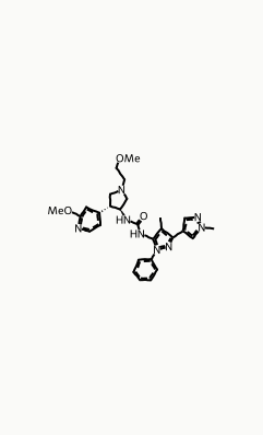 COCCN1C[C@@H](NC(=O)Nc2c(C)c(-c3cnn(C)c3)nn2-c2ccccc2)[C@H](c2ccnc(OC)c2)C1